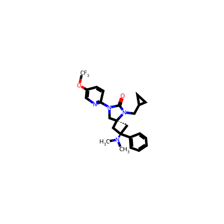 CN(C)[C@]1(c2ccccc2)C[C@@]2(CN(c3ccc(OC(F)(F)F)cn3)C(=O)N2CC2CC2)C1